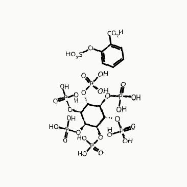 O=C(O)c1ccccc1OS(=O)(=O)O.O=P(O)(O)O[C@H]1[C@H](OP(=O)(O)O)[C@@H](OP(=O)(O)O)[C@H](OP(=O)(O)O)[C@@H](OP(=O)(O)O)[C@H]1OP(=O)(O)O